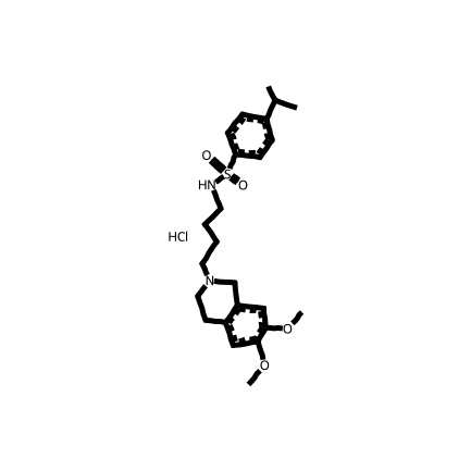 COc1cc2c(cc1OC)CN(CCCCNS(=O)(=O)c1ccc(C(C)C)cc1)CC2.Cl